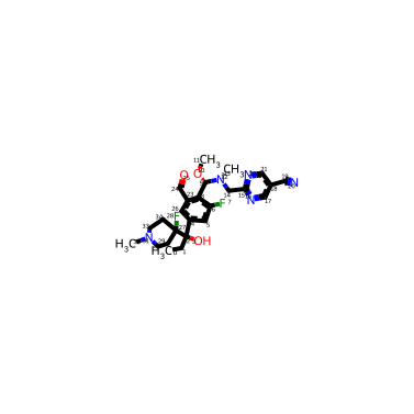 CCC(O)(c1cc(F)c([C@@H](OC)N(C)Cc2ncc(C#N)cn2)c(C=O)c1)C1(F)CCN(C)CC1